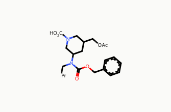 CC(=O)OCC1CC(N(CC(C)C)C(=O)OCc2ccccc2)CN(C(=O)O)C1